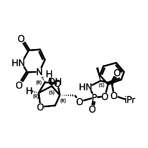 CC(C)OC(=O)[C@H](C)NP(=O)(OC[C@@]12CO[C@@H]([C@H](n3ccc(=O)[nH]c3=O)O1)[C@@H]2O)Oc1ccccc1